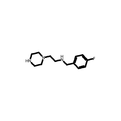 Fc1ccc(CNCCN2CCNCC2)cc1